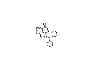 CNC(=O)c1c(O)c(=O)ccn1NC(c1ccccc1)c1ccccc1